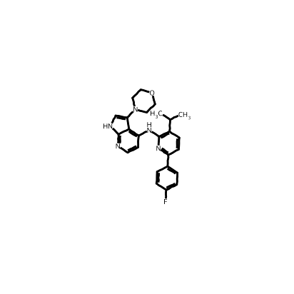 CC(C)c1ccc(-c2ccc(F)cc2)nc1Nc1ccnc2[nH]cc(N3CCOCC3)c12